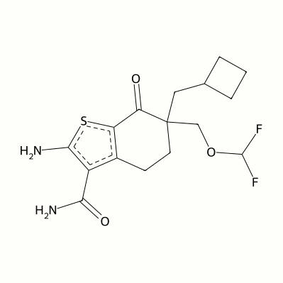 NC(=O)c1c(N)sc2c1CCC(COC(F)F)(CC1CCC1)C2=O